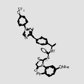 COc1ccc(C(C)C)c(N2C(=O)CS/C2=N\C(=O)NC(C)c2ccc(-c3ncn(-c4ccc(OC(F)(F)F)cc4)n3)cc2)c1